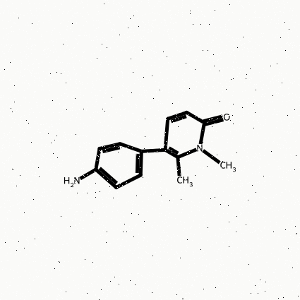 Cc1c(-c2ccc(N)cc2)ccc(=O)n1C